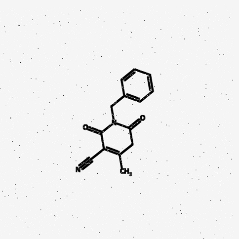 CC1=C(C#N)C(=O)N(Cc2ccccc2)C(=O)C1